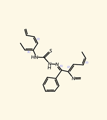 C=C/C=C\C(=C/C)NC(=S)N/N=C(/C(=C/C=C\C)N=C)c1ccccc1